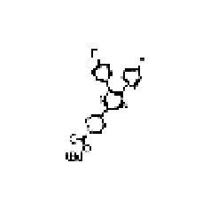 CC(C)(C)OC(=O)N1CCC(c2cnc(-c3ccc(F)cc3)c(-c3ccc(F)cc3)n2)CC1